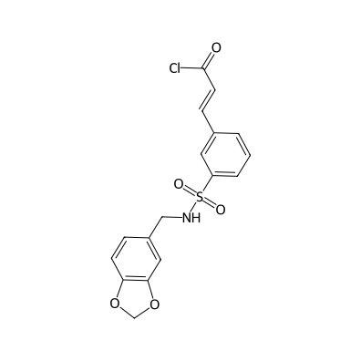 O=C(Cl)C=Cc1cccc(S(=O)(=O)NCc2ccc3c(c2)OCO3)c1